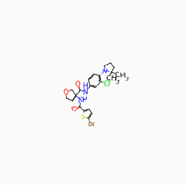 CC1(C)CCCN1c1ccc(NC(=O)C2(NC(=O)c3ccc(Br)s3)CCOC2)cc1Cl